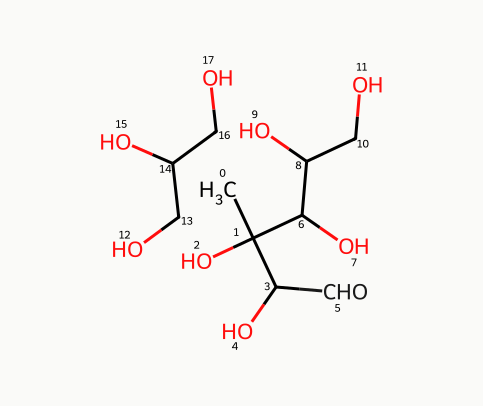 CC(O)(C(O)C=O)C(O)C(O)CO.OCC(O)CO